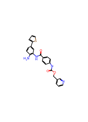 Nc1ccc(-c2cccs2)cc1NC(=O)c1ccc([N]C(=O)OCc2cccnc2)cc1